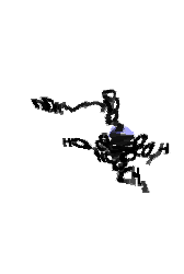 C=CCOC(=O)C(C#N)=c1n(CC(=O)O)c(=O)c(=C/C=C/c2ccc3c(c2)C=Cc2ccccc2N3CCCCCCCCCCCCCCCCCC)c(=O)n1CC(=O)O